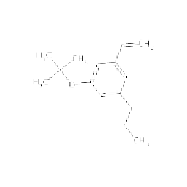 C=[C]c1cc(CCC)cc(OC(C)(C)C)c1